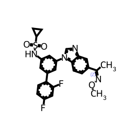 CO/N=C(/C)c1ccc2c(c1)ncn2-c1cc(NS(=O)(=O)C2CC2)cc(-c2ccc(F)cc2F)c1